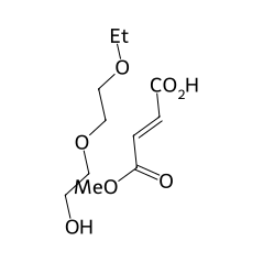 CCOCCOCCO.COC(=O)/C=C/C(=O)O